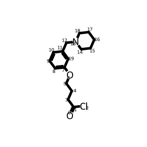 O=C(Cl)CCCOc1cccc(CN2CCCCC2)c1